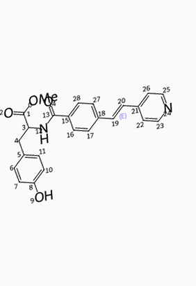 COC(=O)C(Cc1ccc(O)cc1)NC(=O)c1ccc(/C=C/c2ccncc2)cc1